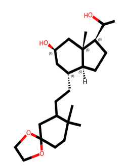 CC(O)[C@H]1CC[C@H]2[C@H](CCC3CC4(CCC3(C)C)OCCO4)C[C@@H](O)C[C@]12C